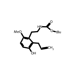 C=CCc1c(O)ccc(OC)c1CCNC(=O)OC(C)(C)C